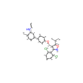 C=CNc1cc(-c2ccc(OCc3c(-c4c(Cl)cccc4Cl)noc3C(C)C)cc2)ccc1C